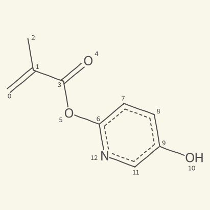 C=C(C)C(=O)Oc1ccc(O)cn1